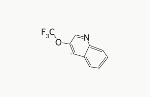 FC(F)(F)Oc1[c]c2ccccc2nc1